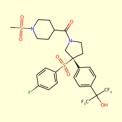 CS(=O)(=O)N1CCC(C(=O)N2CC[C@](c3ccc(C(O)(C(F)(F)F)C(F)(F)F)cc3)(S(=O)(=O)c3ccc(F)cc3)C2)CC1